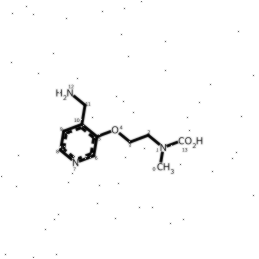 CN(CCOc1cnccc1CN)C(=O)O